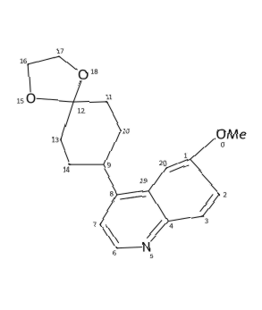 COc1ccc2nccc(C3CCC4(CC3)OCCO4)c2c1